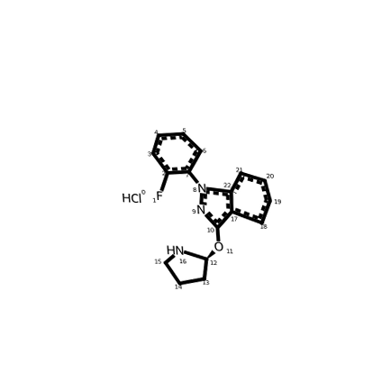 Cl.Fc1ccccc1-n1nc(O[C@H]2CCCN2)c2ccccc21